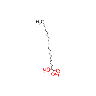 CCCCCCCCCCCCCCCC=CC=C(O)C(=O)O